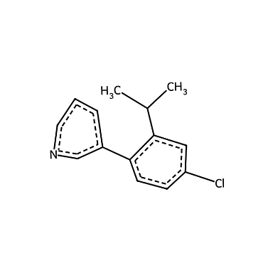 CC(C)c1cc(Cl)ccc1-c1cccnc1